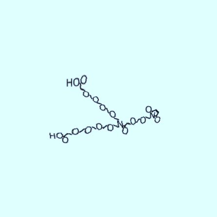 O=C(O)CCOCCOCCOCCOCCN(CCOCCOCCOCCOCCC(=O)O)C(=O)CCOCCOCCN1C(=O)C=CC1=O